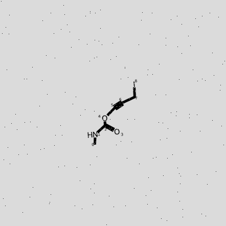 CNC(=O)OC#CCI